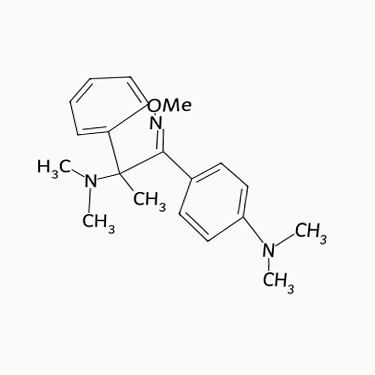 CO/N=C(/c1ccc(N(C)C)cc1)C(C)(c1ccccc1)N(C)C